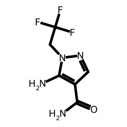 NC(=O)c1cnn(CC(F)(F)F)c1N